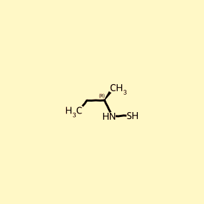 CC[C@@H](C)NS